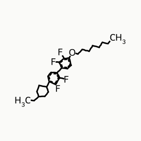 CCCCCCCCOc1ccc(-c2ccc(C3CCC(CC)CC3)c(F)c2F)c(F)c1F